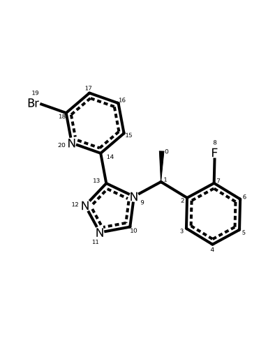 C[C@@H](c1ccccc1F)n1cnnc1-c1cccc(Br)n1